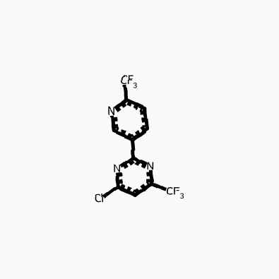 FC(F)(F)c1ccc(-c2nc(Cl)cc(C(F)(F)F)n2)cn1